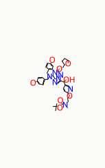 COc1ccc(CN(Cc2ccc(OC)cc2)c2nc(OCC3CCCO3)nn3c(C(O)c4ccc(OCCN(C)C(=O)OC(C)(C)C)nc4)cnc23)cc1